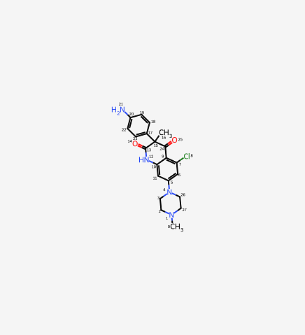 CN1CCN(c2cc(Cl)c3c(c2)NC(=O)C(C)(c2ccc(N)cc2)C3=O)CC1